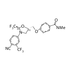 CNC(=O)c1ccc(OC[C@@H]2CN(c3ccc(C#N)c(C(F)(F)F)c3)[C@@H](C(F)(F)F)O2)cc1